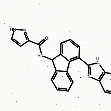 O=C(NC1c2ccccc2-c2c(-c3nc4ccncc4[nH]3)cccc21)c1cc[nH]n1